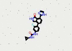 O=C(Nc1ccc(-c2ccc(-c3ncc[nH]3)c3c2CNC3=O)c(F)c1)NC1CC1